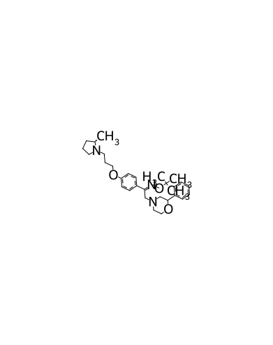 C[C@@H]1CCCN1CCCOc1ccc(/C(CN2CCOC(c3ccccc3)C2)=N/OC(C)(C)C)cc1